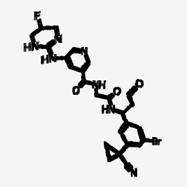 N#CC1(c2cc(Br)cc([C@H](CC=O)NC(=O)CNC(=O)c3cncc(NC4=NCC(F)CN4)c3)c2)CC1